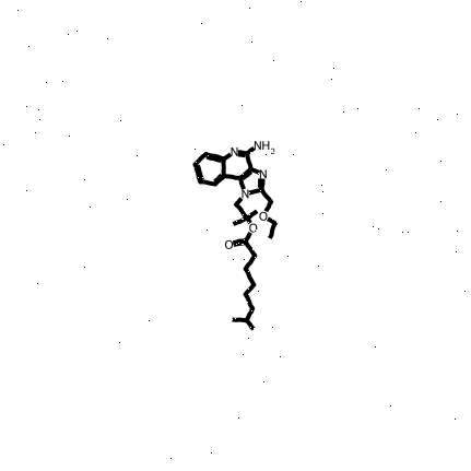 CCOCc1nc2c(N)nc3ccccc3c2n1CC(C)(C)OC(=O)CCCCCC(C)C